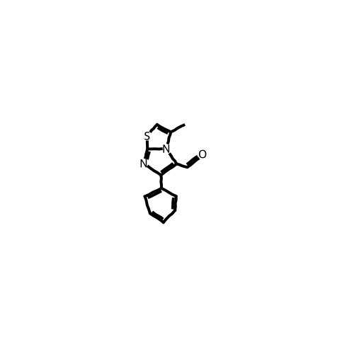 Cc1csc2nc(-c3ccccc3)c(C=O)n12